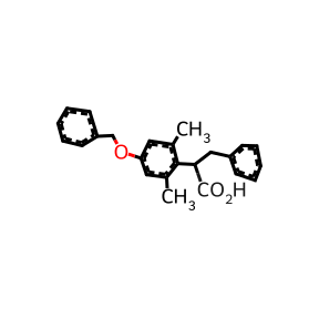 Cc1cc(OCc2ccccc2)cc(C)c1C(Cc1ccccc1)C(=O)O